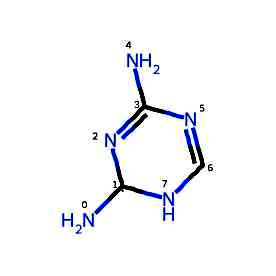 N[C]1N=C(N)N=CN1